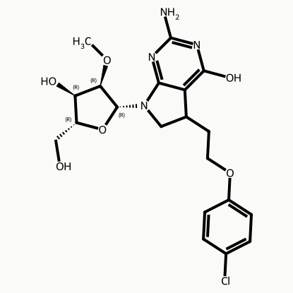 CO[C@@H]1[C@H](O)[C@@H](CO)O[C@H]1N1CC(CCOc2ccc(Cl)cc2)c2c(O)nc(N)nc21